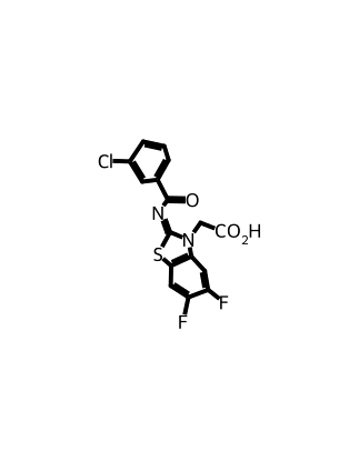 O=C(O)Cn1c(=NC(=O)c2cccc(Cl)c2)sc2cc(F)c(F)cc21